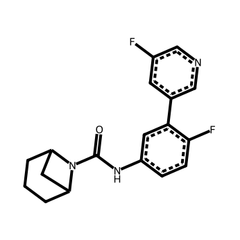 O=C(Nc1ccc(F)c(-c2cncc(F)c2)c1)N1C2CCCC1C2